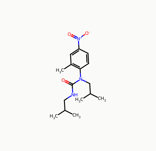 Cc1cc([N+](=O)[O-])ccc1N(CC(C)C)C(=O)NCC(C)C